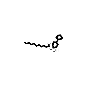 CCCCCCCCCCC(=O)OC1(O)C=CC(c2ccccc2)=CC1